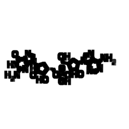 Nc1nc2c(ncn2[C@@H]2C[C@H](COP(=O)(O)O[C@@H]3[C@@H](CO)C[C@@H](n4cnc5c(N)ncnc54)[C@@H]3O)[C@@H](O)[C@H]2O)c(=O)[nH]1